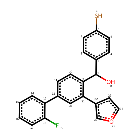 OC(c1ccc(S)cc1)c1ccc(-c2ccccc2F)cc1-c1ccoc1